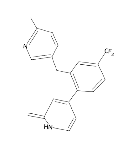 C=C1C=C(c2ccc(C(F)(F)F)cc2Cc2ccc(C)nc2)C=CN1